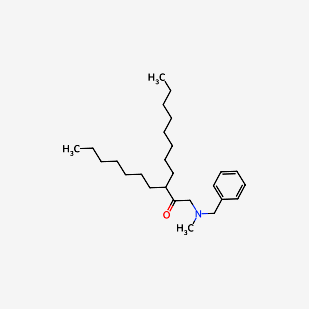 CCCCCCCCC(CCCCCCC)C(=O)CN(C)Cc1ccccc1